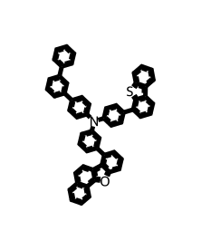 c1ccc(-c2cccc(-c3ccc(N(c4ccc(-c5cccc6c5sc5ccccc56)cc4)c4cccc(-c5cccc6oc7c8ccccc8ccc7c56)c4)cc3)c2)cc1